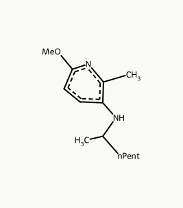 CCCCCC(C)Nc1ccc(OC)nc1C